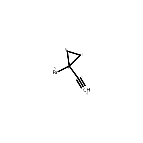 C#CC1(Br)CC1